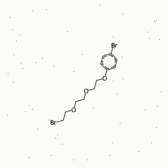 BrCCOCCOCCOc1ccc(Br)cc1